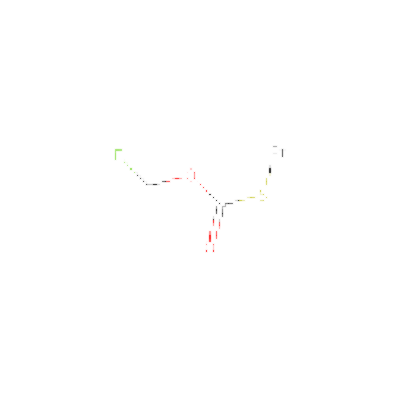 CCSC(=O)OCF